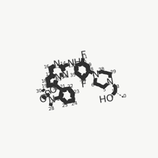 C[C@H](O)CN1CCN(c2cc(F)c(Nc3ncc4ccc(-c5ccccc5N(C)S(C)(=O)=O)n4n3)cc2F)CC1